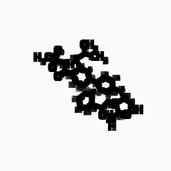 CC(C)Sc1cc(-c2ccc(C[C@@H](CO)N(C[C@H](O)c3ccccc3)C(=O)O)cc2)ccc1C(=O)NS(C)(=O)=O